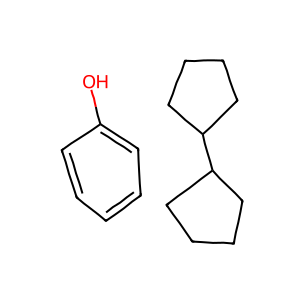 C1CCC(C2CCCC2)C1.Oc1ccccc1